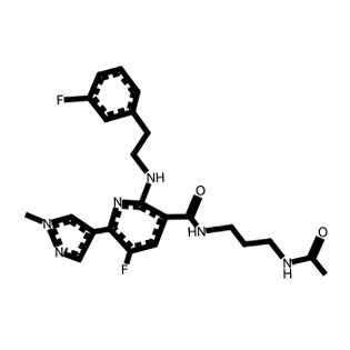 CC(=O)NCCCNC(=O)c1cc(F)c(-c2cnn(C)c2)nc1NCCc1cccc(F)c1